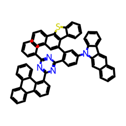 c1ccc(-c2nc(-c3ccc(-n4c5ccccc5c5cc6ccccc6cc54)cc3-c3cc4ccccc4c4sc5ccccc5c34)nc(-c3cccc4c5ccccc5c5ccccc5c34)n2)cc1